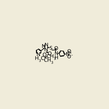 CC(C)(C)OC(=O)n1c(SCC(=O)Nc2ccc([N+](=O)[O-])cc2)nnc1-c1cccnc1